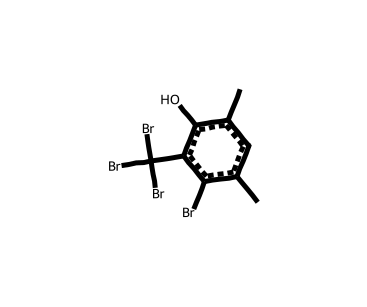 Cc1cc(C)c(Br)c(C(Br)(Br)Br)c1O